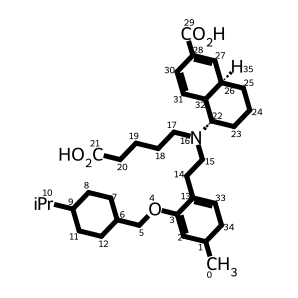 CC1C=C(OCC2CCC(C(C)C)CC2)C(CCN(CCCCC(=O)O)[C@H]2CCC[C@@H]3C=C(C(=O)O)C=CC32)=CC1